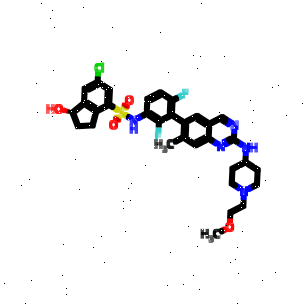 COCCN1CCC(Nc2ncc3cc(-c4c(F)ccc(NS(=O)(=O)c5cc(Cl)cc6c5CC[C@H]6O)c4F)c(C)cc3n2)CC1